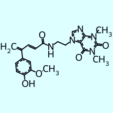 C=C(C=CC(=O)NCCn1cnc2c1c(=O)n(C)c(=O)n2C)c1ccc(O)c(OC)c1